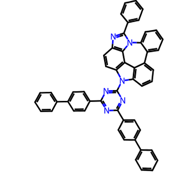 c1ccc(-c2ccc(-c3nc(-c4ccc(-c5ccccc5)cc4)nc(-n4c5cccc6c7ccccc7n7c(-c8ccccc8)nc8ccc4c(c65)c87)n3)cc2)cc1